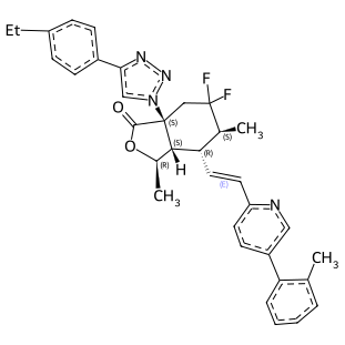 CCc1ccc(-c2cn([C@@]34CC(F)(F)[C@@H](C)[C@H](/C=C/c5ccc(-c6ccccc6C)cn5)[C@@H]3[C@@H](C)OC4=O)nn2)cc1